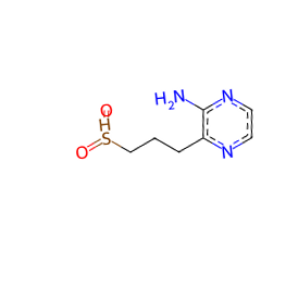 Nc1nccnc1CCC[SH](=O)=O